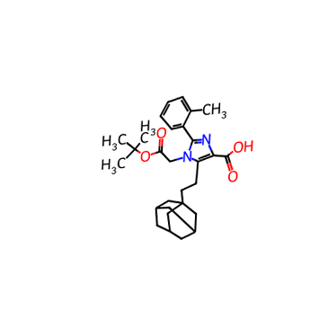 Cc1ccccc1-c1nc(C(=O)O)c(CCC23CC4CC(CC(C4)C2)C3)n1CC(=O)OC(C)(C)C